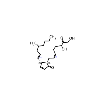 CCCCC(C)C/C=C/[C@H]1C=CC(=O)[C@@H]1C/C=C\CCC(O)C(=O)CO